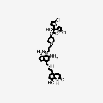 Nc1cc(CNCCc2ccc(O)c3[nH]c(=O)ccc23)c2c(c1N(N)CCCN1CCC(OC(=O)C(O)(c3ccc(Cl)s3)c3ccc(Cl)s3)CC1)CCC2